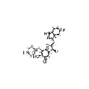 O=C1/C(=C/c2n[nH]c3ccc(F)cc23)Oc2c1cc(Cl)c(O)c2CN1CCNCC1